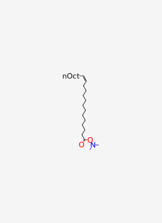 CCCCCCCC/C=C\CCCCCCCCCCCC(=O)ON(C)C